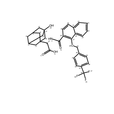 O=C(N[C@H](C(=O)O)C12CC3CC(CC(O)(C3)C1)C2)c1ccc2ccccc2c1OCc1ccc(C(F)(F)F)cc1